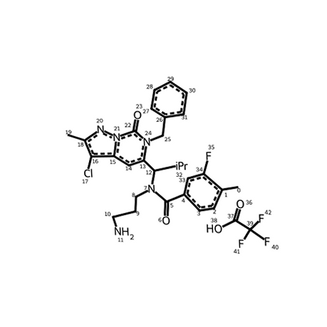 Cc1ccc(C(=O)N(CCCN)C(c2cc3c(Cl)c(C)nn3c(=O)n2Cc2ccccc2)C(C)C)cc1F.O=C(O)C(F)(F)F